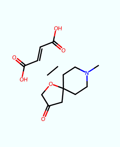 CC.CN1CCC2(CC1)CC(=O)CO2.O=C(O)C=CC(=O)O